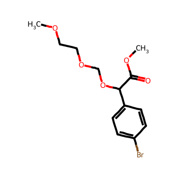 COCCOCOC(C(=O)OC)c1ccc(Br)cc1